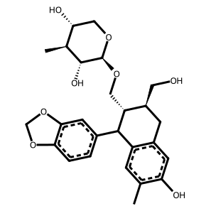 Cc1cc2c(cc1O)C[C@H](CO)[C@@H](CO[C@@H]1OC[C@@H](O)[C@H](C)[C@H]1O)C2c1ccc2c(c1)OCO2